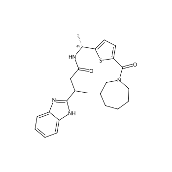 CC(CC(=O)N[C@H](C)c1ccc(C(=O)N2CCCCCC2)s1)c1nc2ccccc2[nH]1